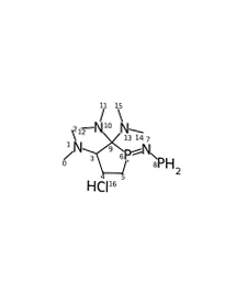 CN(C)C1CC[P](=NP)C1(N(C)C)N(C)C.Cl